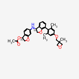 CC(=O)O[C@@H]1COc2cc(N[C@@H]3COc4c(-c5c(C)cc(OCC6(C)COC6)cc5C)cccc43)ccc21